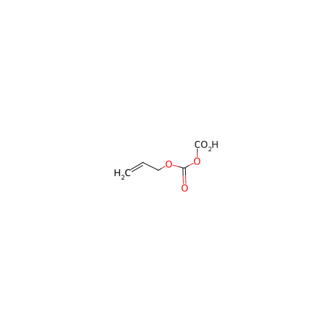 C=CCOC(=O)OC(=O)O